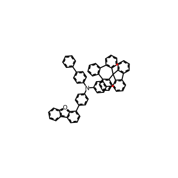 c1ccc(-c2ccc(N(c3ccc(-c4cccc5c4C4(c6ccccc6-c6ccccc6-c6ccccc64)c4ccccc4-5)cc3)c3ccc(-c4cccc5c4oc4ccccc45)cc3)cc2)cc1